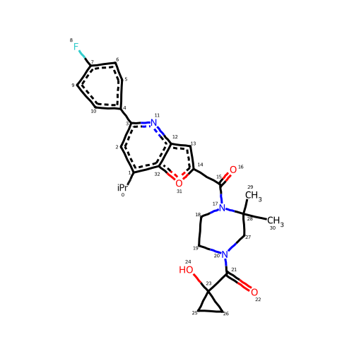 CC(C)c1cc(-c2ccc(F)cc2)nc2cc(C(=O)N3CCN(C(=O)C4(O)CC4)CC3(C)C)oc12